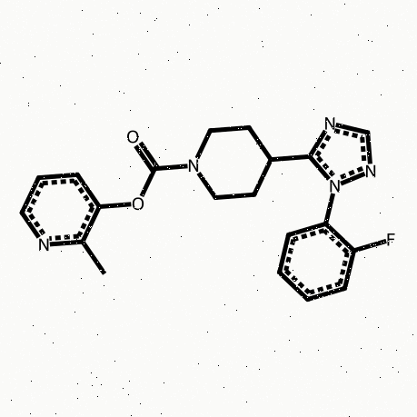 Cc1ncccc1OC(=O)N1CCC(c2ncnn2-c2ccccc2F)CC1